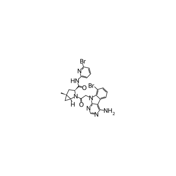 C[C@@]12C[C@@H](C(=O)Nc3cccc(Br)n3)N(C(=O)Cn3c4ncnc(N)c4c4cccc(Br)c43)[C@@H]1C2